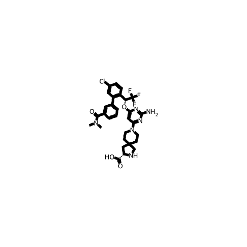 CN(C)C(=O)c1cccc(-c2cc(Cl)ccc2[C@@H](Oc2cc(N3CCC4(CC3)CN[C@H](C(=O)O)C4)nc(N)n2)C(F)(F)F)c1